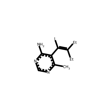 CCC(CC)=C(I)c1c(C)ncnc1N